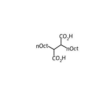 CCCCCCCCC(C(=O)O)C(CCCCCCCC)C(=O)O